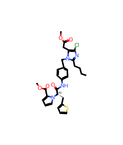 CCCCc1nc(Cl)c(CC(=O)OC)n1Cc1ccc(NC(=O)[C@H](Cc2cccs2)n2cccc2C(=O)OC)cc1